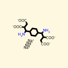 NC(C1CCC(C(N)C(CC(=O)[O-])C(=O)[O-])CC1)C(CC(=O)[O-])C(=O)[O-].[Na+].[Na+].[Na+].[Na+]